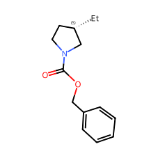 CC[C@H]1CCN(C(=O)OCc2ccccc2)C1